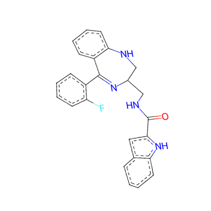 O=C(NCC1CNc2ccccc2C(c2ccccc2F)=N1)c1cc2ccccc2[nH]1